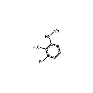 CCCNc1cccc(Br)c1C